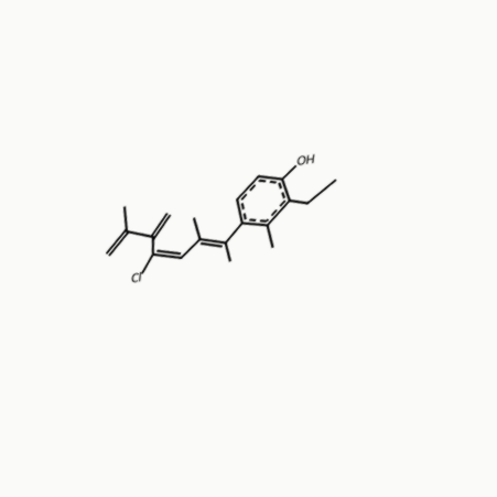 C=C(C)C(=C)/C(Cl)=C\C(C)=C(/C)c1ccc(O)c(CC)c1C